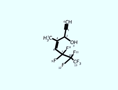 C#CC(O)C(C)=CC(F)(F)C(F)(F)C(F)(F)F